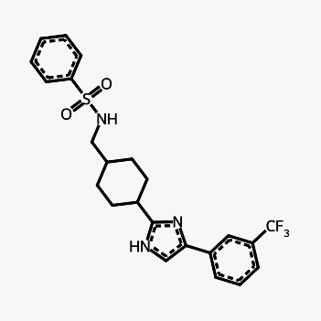 O=S(=O)(NCC1CCC(c2nc(-c3cccc(C(F)(F)F)c3)c[nH]2)CC1)c1ccccc1